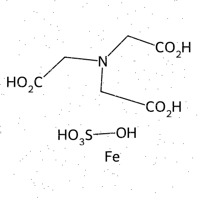 O=C(O)CN(CC(=O)O)CC(=O)O.O=S(=O)(O)O.[Fe]